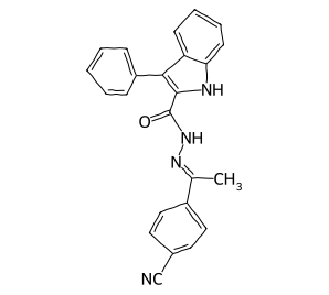 C/C(=N\NC(=O)c1[nH]c2ccccc2c1-c1ccccc1)c1ccc(C#N)cc1